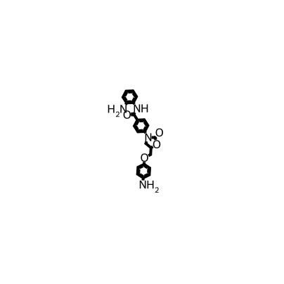 Nc1ccc(OCC2CN(c3ccc(C(=O)Nc4ccccc4N)cc3)C(=O)O2)cc1